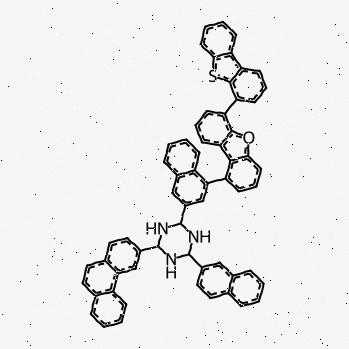 c1ccc2cc(C3NC(c4cc(-c5cccc6oc7c(-c8cccc9c8sc8ccccc89)cccc7c56)c5ccccc5c4)NC(c4ccc5ccc6ccccc6c5c4)N3)ccc2c1